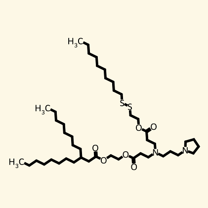 CCCCCCCCCCSSCCOC(=O)CCN(CCCN1CCCC1)CCC(=O)OCCOC(=O)CC(CCCCCCCC)CCCCCCCC